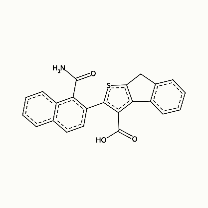 NC(=O)c1c(-c2sc3c(c2C(=O)O)-c2ccccc2C3)ccc2ccccc12